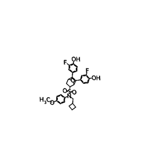 COc1ccc(N(CC2CCC2)S(=O)(=O)C2CC3OC2C(c2ccc(O)c(F)c2)=C3c2ccc(O)c(F)c2)cc1